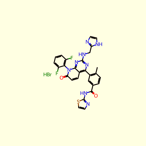 Br.Cc1ccc(C(=O)Nc2nccs2)cc1-c1nc(NCc2ncc[nH]2)nc2c1ccc(=O)n2-c1c(F)cccc1F